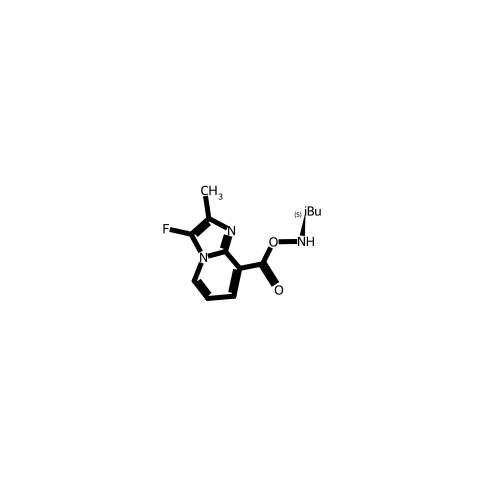 CC[C@H](C)NOC(=O)c1cccn2c(F)c(C)nc12